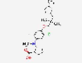 C[C@@H]1CC[C@H](CC(C)(C)COc2cc(F)c(N(C)[C@@H]3CCC[C@H]3C(=O)O)cc2Cl)C1